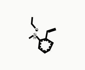 C=Cc1ccccc1[SiH](C)OCC